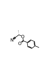 Cc1ccc(C(=O)O[C@@H](C)C#N)cc1